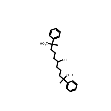 CC(C=O)(CCCC(O)CCCC(C)(C(=O)O)c1ccccc1)c1ccccc1